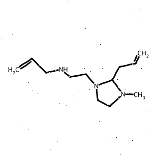 C=CCNCCN1CCN(C)C1CC=C